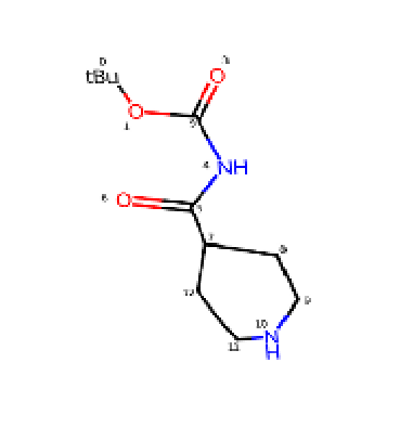 CC(C)(C)OC(=O)NC(=O)C1CCNCC1